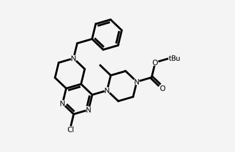 CC1CN(C(=O)OC(C)(C)C)CCN1c1nc(Cl)nc2c1CN(Cc1ccccc1)CC2